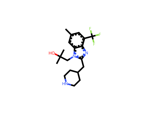 Cc1cc(C(F)(F)F)c2nc(CC3CCNCC3)n(CC(C)(C)O)c2c1